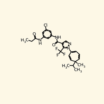 CCC(=O)Nc1cc(Cl)cc(NC(=O)c2cnn(C3=CC=CC(C)(C(C)C)C=C3)c2C(F)(F)F)c1